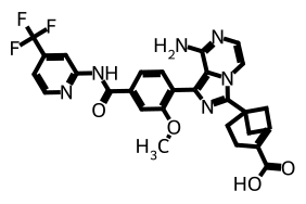 COc1cc(C(=O)Nc2cc(C(F)(F)F)ccn2)ccc1-c1nc(C23CCC(C(=O)O)=C(C2)C3)n2ccnc(N)c12